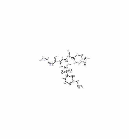 C=C(/C=C\C=C/C)[C@@H]1C[C@H](C(=O)N2CCS(=O)(=O)CC2)CN(S(=O)(=O)c2cccc(CN)n2)C1